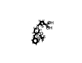 O=C(OC1(Cc2ccccc2)CCN(Cc2ccc(B(O)O)s2)CC1)C(F)(F)F